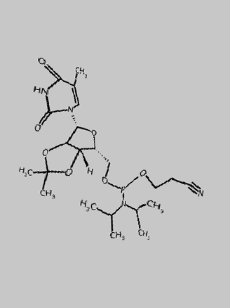 Cc1cn([C@@H]2O[C@H](COP(OCCC#N)N(C(C)C)C(C)C)[C@@H]3OC(C)(C)OC32)c(=O)[nH]c1=O